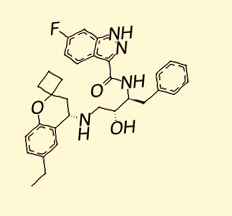 CCc1ccc2c(c1)[C@@H](NC[C@@H](O)[C@H](Cc1ccccc1)NC(=O)c1n[nH]c3cc(F)ccc13)CC1(CCC1)O2